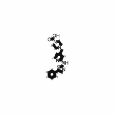 O=C(O)N1CCN(Cc2ccnc(Nc3ncc(-c4ccccc4)s3)c2)CC1